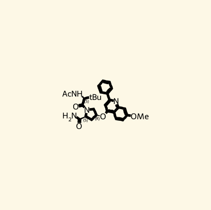 COc1ccc2c(O[C@@H]3C[C@@H](C(N)=O)N(C(=O)[C@@H](NC(C)=O)C(C)(C)C)C3)cc(-c3ccccc3)nc2c1